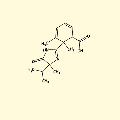 CC1=CC=CC(C(=O)O)C1(C)C1=NC(C)(C(C)C)C(=O)N1